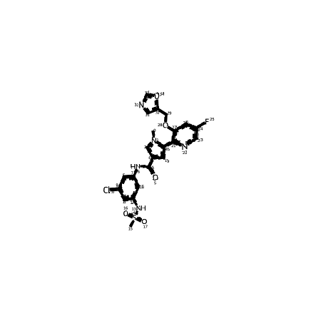 Cn1cc(C(=O)Nc2cc(Cl)cc(NS(C)(=O)=O)c2)cc1-c1ncc(F)cc1OCc1cnco1